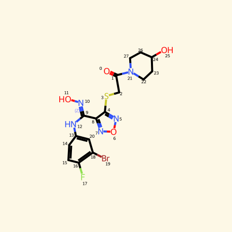 O=C(CSc1nonc1/C(=N/O)Nc1ccc(F)c(Br)c1)N1CCC(O)CC1